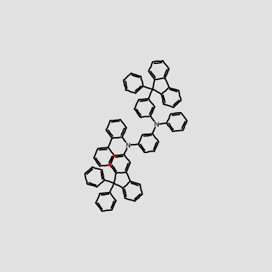 c1ccc(-c2ccccc2N(c2cccc(N(c3ccccc3)c3cccc(C4(c5ccccc5)c5ccccc5-c5ccccc54)c3)c2)c2ccc3c(c2)-c2ccccc2C3(c2ccccc2)c2ccccc2)cc1